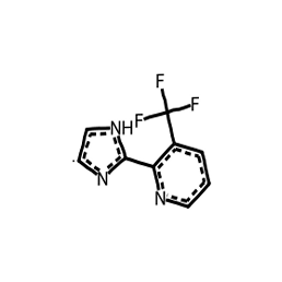 FC(F)(F)c1cccnc1-c1n[c]c[nH]1